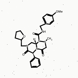 COc1ccc(CNC(=O)N2[C@H]3CN(CC4CCCO4)C(=O)[C@H](c4ccccc4)N3C(=O)CN2C)cc1